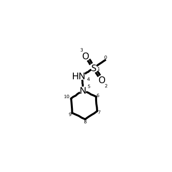 CS(=O)(=O)NN1CCCCC1